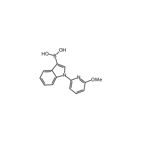 COc1cccc(-n2cc(B(O)O)c3ccccc32)n1